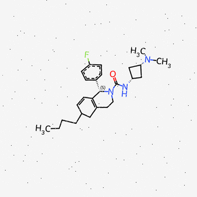 CCCCC1C=CC2=C(CCN(C(=O)N[C@H]3C[C@@H](N(C)C)C3)[C@H]2c2ccc(F)cc2)C1